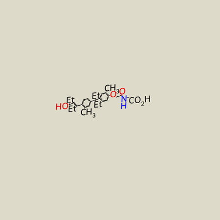 CCC(O)(/C=C/c1ccc(C(CC)(CC)c2ccc(OCC(=O)NCC(=O)O)c(C)c2)cc1C)CC